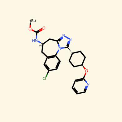 CC(C)(C)OC(=O)N[C@@H]1Cc2cc(Cl)ccc2-n2c(nnc2[C@H]2CC[C@H](Oc3ccccn3)CC2)C1